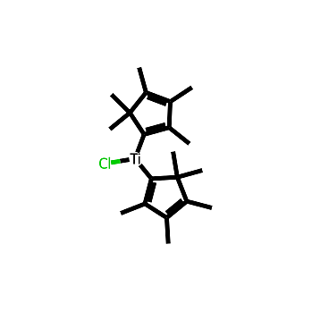 CC1=C(C)C(C)(C)[C]([Ti]([Cl])[C]2=C(C)C(C)=C(C)C2(C)C)=C1C